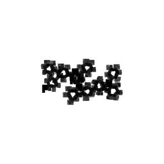 Fc1ccc2c(c1)c1ccccc1c1ccc(-c3nc(-c4ccccc4)nc(-n4c5ccccc5c5ccc(-c6ccc7c(c6)c6ccccc6n7-c6ccccc6)cc54)n3)cc12